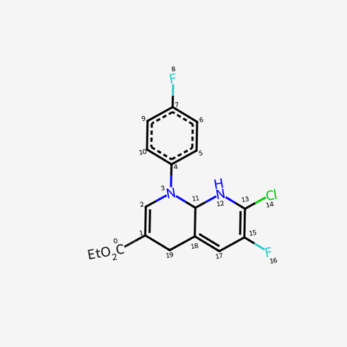 CCOC(=O)C1=CN(c2ccc(F)cc2)C2NC(Cl)=C(F)C=C2C1